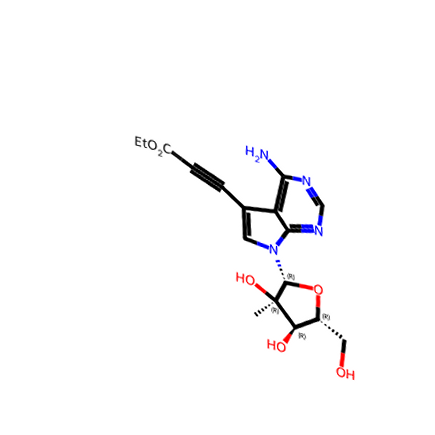 CCOC(=O)C#Cc1cn([C@@H]2O[C@H](CO)[C@@H](O)[C@@]2(C)O)c2ncnc(N)c12